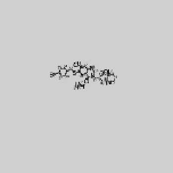 Cl.Cl.O=C(C[C@H]1NCCC[C@@H]1O)Cn1cnc2cc(Cl)c(SCc3ccc(Br)cc3)cc2c1=O